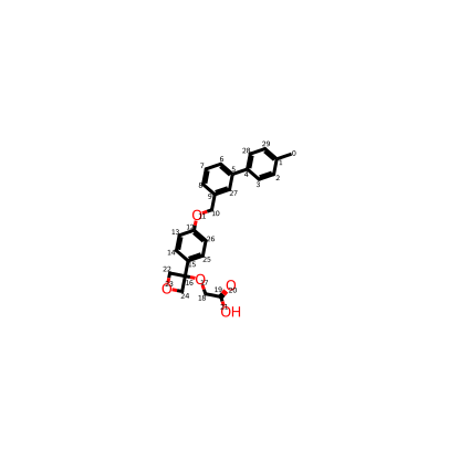 Cc1ccc(-c2cccc(COc3ccc(C4(OCC(=O)O)COC4)cc3)c2)cc1